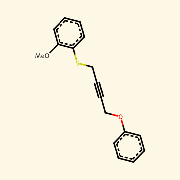 COc1ccccc1SCC#CCOc1ccccc1